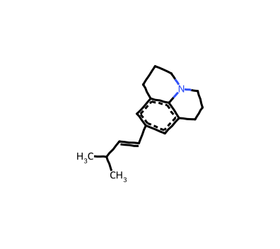 CC(C)/C=C/c1cc2c3c(c1)CCCN3CCC2